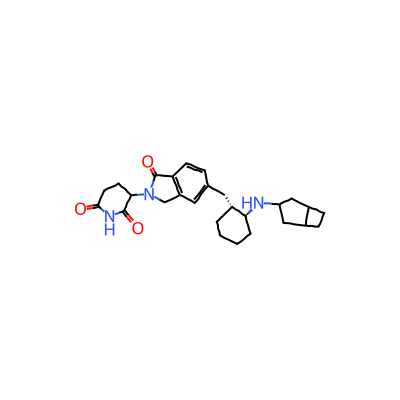 O=C1CCC(N2Cc3cc(C[C@H]4CCCC[C@@H]4NC4CC5CCC5C4)ccc3C2=O)C(=O)N1